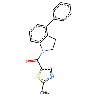 O=Cc1ncc(C(=O)N2CCc3c(-c4ccccc4)cccc32)s1